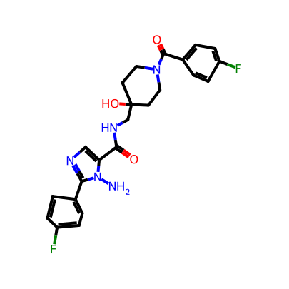 Nn1c(C(=O)NCC2(O)CCN(C(=O)c3ccc(F)cc3)CC2)cnc1-c1ccc(F)cc1